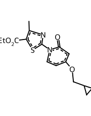 CCOC(=O)c1sc(-n2ccc(OCC3CC3)cc2=O)nc1C